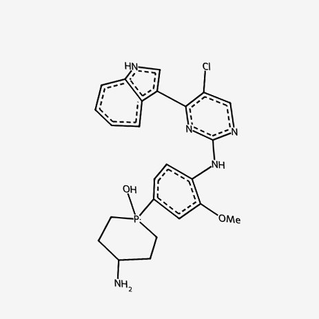 COc1cc([P]2(O)CCC(N)CC2)ccc1Nc1ncc(Cl)c(-c2c[nH]c3ccccc23)n1